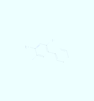 CCc1cc(C(C)(C)C)c(-c2ccccc2)cc1Cl